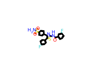 NS(=O)(=O)c1ccc(-c2nc(NC(=O)c3cccc(F)c3)sc2-c2ccc(F)cc2)cc1